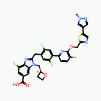 Cn1cc(-c2cnc(COc3nc(-c4cc(F)c(Cc5nc6c(F)cc(C(=O)O)cc6n5C[C@@H]5CCO5)cc4F)ccc3F)s2)cn1